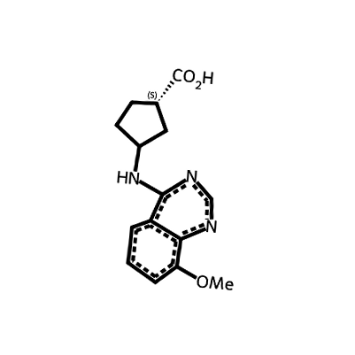 COc1cccc2c(NC3CC[C@H](C(=O)O)C3)ncnc12